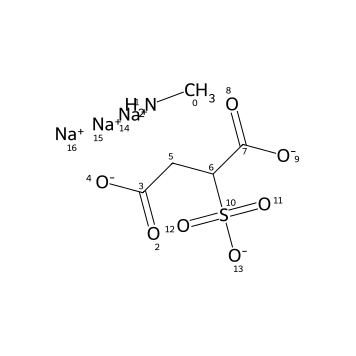 CN.O=C([O-])CC(C(=O)[O-])S(=O)(=O)[O-].[Na+].[Na+].[Na+]